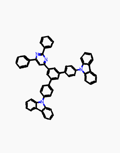 c1ccc(-c2cc(-c3cc(-c4ccc(-n5c6ccccc6c6ccccc65)cc4)cc(-c4ccc(-n5c6ccccc6c6ccccc65)cc4)c3)nc(-c3ccccc3)n2)cc1